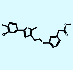 COC(=O)Cc1cccc(OCCc2nc(-c3ccc(C)c(Cl)c3)oc2C)c1